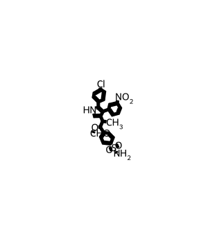 CC(c1c[nH]c(-c2ccc(Cl)cc2)c1-c1cccc([N+](=O)[O-])c1)C(OC=O)c1ccc(S(N)(=O)=O)cc1